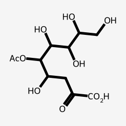 CC(=O)OC(C(O)CC(=O)C(=O)O)C(O)C(O)C(O)CO